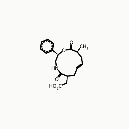 C[C@H]1C/C=C/C[C@@H](CC(=O)O)C(=O)NC[C@@H](c2ccccc2)OC1=O